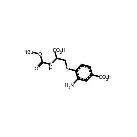 CC(C)(C)OC(=O)NC(CSc1ccc(C(=O)O)cc1N)C(=O)O